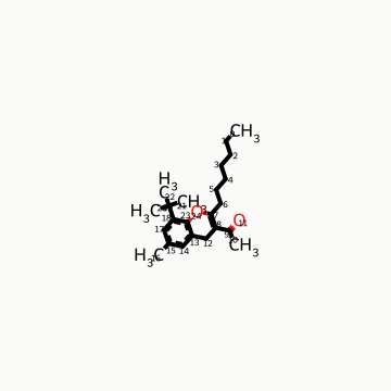 CCCCCCCC1=C(C(C)=O)Cc2cc(C)cc(C(C)(C)C)c2O1